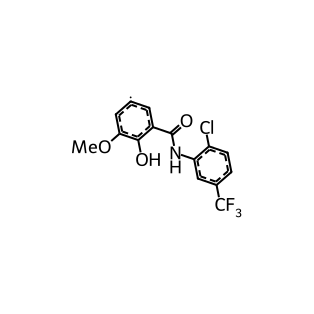 COc1c[c]cc(C(=O)Nc2cc(C(F)(F)F)ccc2Cl)c1O